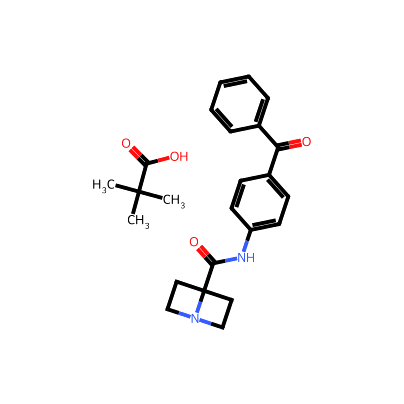 CC(C)(C)C(=O)O.O=C(c1ccccc1)c1ccc(NC(=O)C23CCN2CC3)cc1